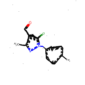 Cc1ccc(-n2nc(C)c(C=O)c2Cl)cc1